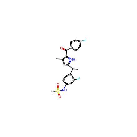 CCS(=O)(=O)Nc1ccc(C(C)c2cc(C)c(C(=O)c3ccc(F)cc3)[nH]2)c(F)c1